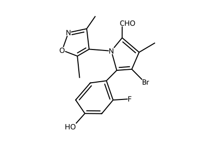 Cc1noc(C)c1-n1c(C=O)c(C)c(Br)c1-c1ccc(O)cc1F